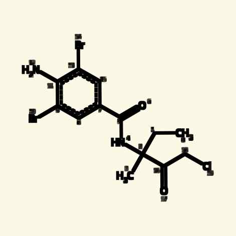 CCC(C)(NC(=O)c1cc(Br)c(N)c(Br)c1)C(=O)CCl